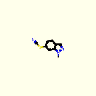 Cn1ncc2ccc(SC#N)cc21